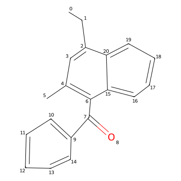 CCc1cc(C)c(C(=O)c2ccccc2)c2ccccc12